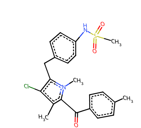 Cc1ccc(C(=O)c2c(C)c(Cl)c(Cc3ccc(NS(C)(=O)=O)cc3)n2C)cc1